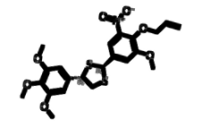 C=CCOc1c(OC)cc([C@H]2SC[C@H](c3cc(OC)c(OC)c(OC)c3)S2)cc1[N+](=O)[O-]